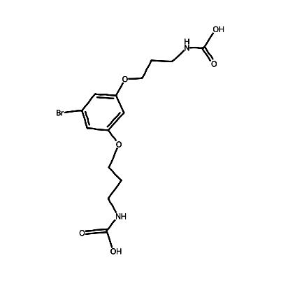 O=C(O)NCCCOc1cc(Br)cc(OCCCNC(=O)O)c1